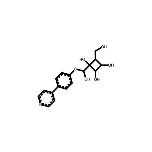 OCC1C(O)C(O)C1(O)C(O)Oc1ccc(-c2ccncc2)cc1